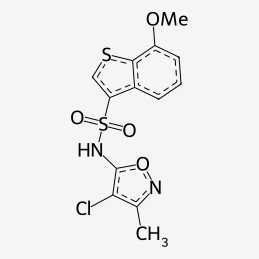 COc1cccc2c(S(=O)(=O)Nc3onc(C)c3Cl)csc12